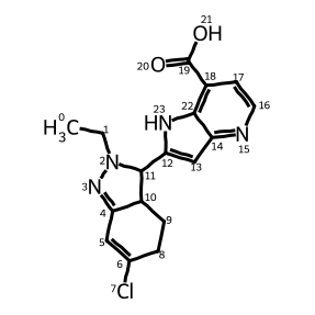 CCN1N=C2C=C(Cl)CCC2C1c1cc2nccc(C(=O)O)c2[nH]1